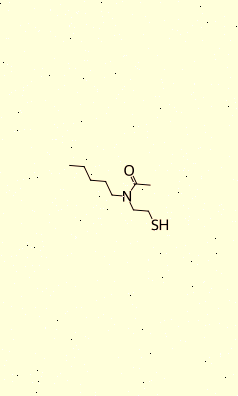 CCCCCN(CCS)C(C)=O